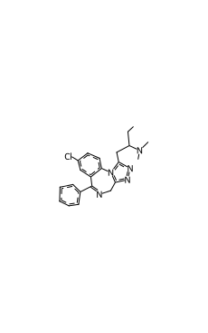 CCC(Cc1nnc2n1-c1ccc(Cl)cc1C(c1ccccc1)=NC2)N(C)C